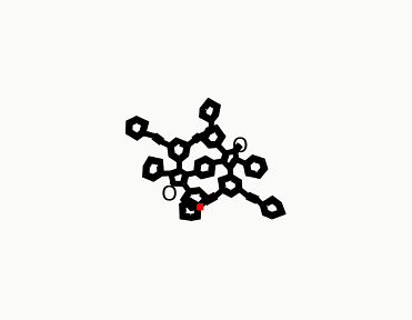 O=C1C(c2ccccc2)=C(c2ccc(C3=C(c4ccccc4)C(=O)C(c4ccccc4)=C3c3cc(C#Cc4ccccc4)cc(C#Cc4ccccc4)c3)cc2)C(c2cc(C#CCc3ccccc3)cc(C#Cc3ccccc3)c2)=C1c1ccccc1